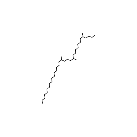 CCCCCCCCCCCCCCCCC(C)CCCC(C)CCCCCCCC(C)CCCC